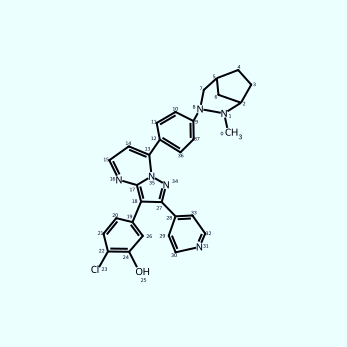 CN1C2CCC(C2)CN1c1ccc(-c2ccnc3c(-c4ccc(Cl)c(O)c4)c(-c4ccncc4)nn23)cc1